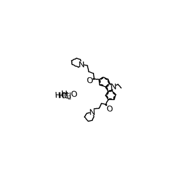 CCn1c2ccc(C(=O)CCCN3CCCCC3)cc2c2cc(C(=O)CCCN3CCCCC3)ccc21.Cl.Cl.O